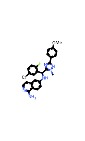 CCc1ccc(F)c(C(Nc2ccc3c(N)nccc3c2)c2nc(-c3ccc(OC)cc3)nn2C)c1